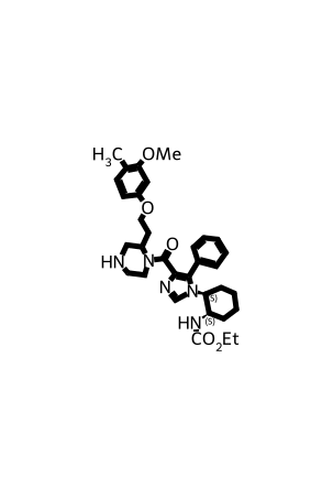 CCOC(=O)N[C@H]1CCCC[C@@H]1n1cnc(C(=O)N2CCNCC2CCOc2ccc(C)c(OC)c2)c1-c1ccccc1